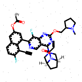 C#Cc1c(F)ccc2cc(OC(=O)C(C)C)cc(-c3ncc4c(N5C[C@H]6CC[C@@H](C5)N6C(=O)C=C)nc(OCC5CCCN5C)nc4c3F)c12